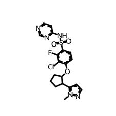 Cn1nccc1C1CCCC1Oc1ccc(S(=O)(=O)Nc2ccncn2)c(F)c1Cl